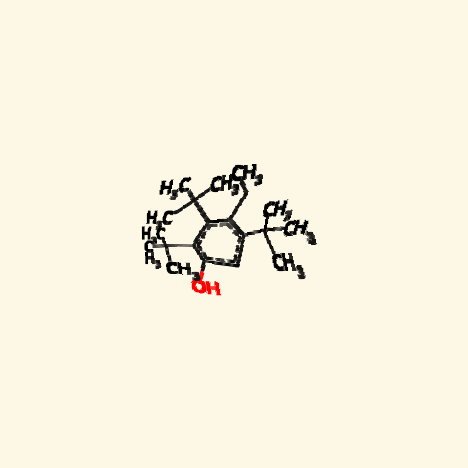 CCc1c(C(C)(C)C)cc(O)c(C(C)(C)C)c1C(C)(C)C